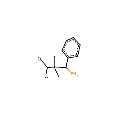 CC[C](CC)C(C)(C)C(P)c1ccccc1